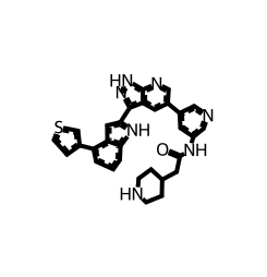 O=C(CC1CCNCC1)Nc1cncc(-c2cnc3[nH]nc(-c4cc5c(-c6ccsc6)cccc5[nH]4)c3c2)c1